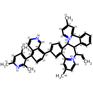 C=CC1C2c3ccccc3-c3cc(C)cc[n+]3C2c2ccc(-c3ccc(-c4c(C)cc(C)nc4C)c4ccncc34)cc2-c2cc(C)cc[n+]21